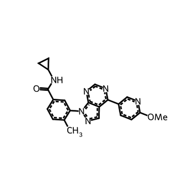 COc1ccc(-c2ncnc3c2cnn3-c2cc(C(=O)NC3CC3)ccc2C)cn1